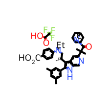 CCN(C[C@@H](C)c1c(-c2cc(C)cc(C)c2)[nH]c2cnc(C(C)(C)C(=O)N3CC4CCC3CC4)cc12)c1ccc(C(=O)O)cc1.O=C(O)C(F)(F)F